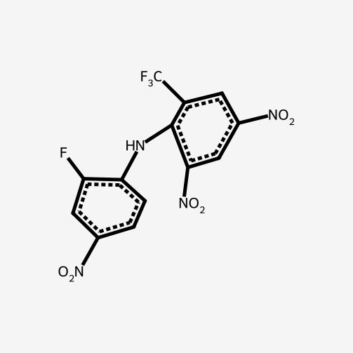 O=[N+]([O-])c1ccc(Nc2c([N+](=O)[O-])cc([N+](=O)[O-])cc2C(F)(F)F)c(F)c1